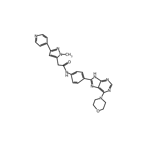 Cn1nc(-c2ccncc2)cc1CC(=O)Nc1ccc(-c2nc3c(N4CCOCC4)ncnc3[nH]2)cc1